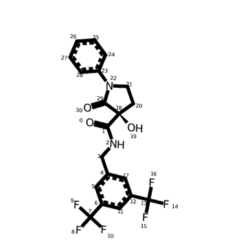 O=C(NCc1cc(C(F)(F)F)cc(C(F)(F)F)c1)[C@@]1(O)CCN(c2ccccc2)C1=O